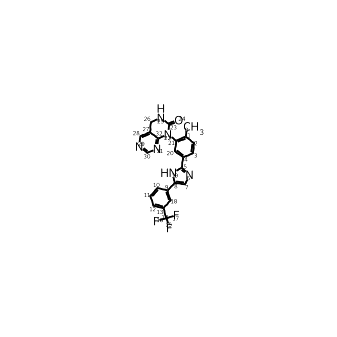 Cc1ccc(-c2ncc(-c3cccc(C(F)(F)F)c3)[nH]2)cc1N1C(=O)NCc2cncnc21